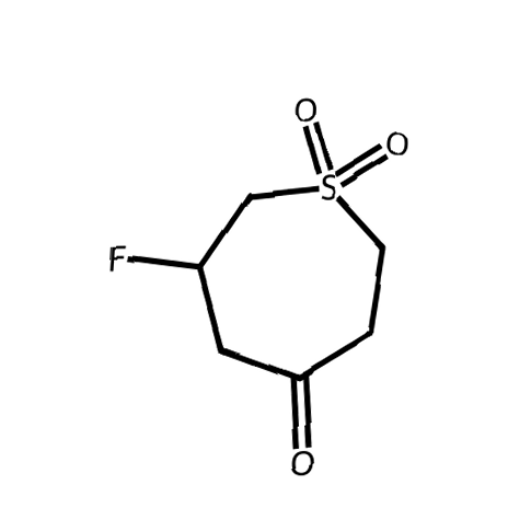 O=C1CCS(=O)(=O)CC(F)C1